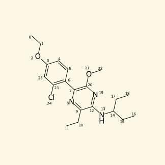 CCOc1ccc(-c2nc(CC)c(NC(CC)CC)nc2OC)c(Cl)c1